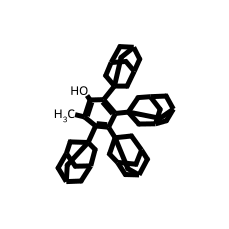 Cc1c(O)c(C23CC4CC(CC(C4)C2)C3)c(C23CC4CC(CC(C4)C2)C3)c(C23CC4CC(CC(C4)C2)C3)c1C12CC3CC(CC(C3)C1)C2